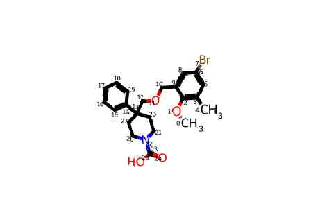 COc1c(C)cc(Br)cc1COCC1(c2ccccc2)CCN(C(=O)O)CC1